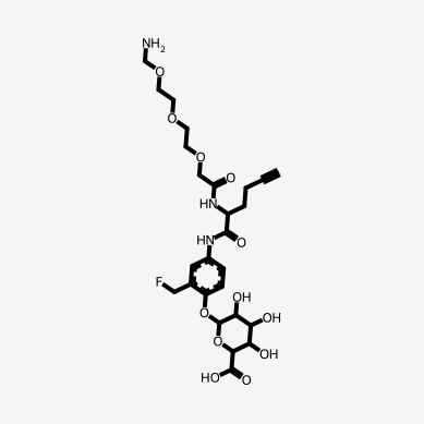 C#CCCC(NC(=O)COCCOCCOCN)C(=O)Nc1ccc(OC2OC(C(=O)O)C(O)C(O)C2O)c(CF)c1